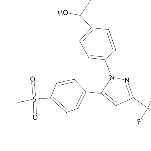 CC(O)c1ccc(-n2nc(C(F)(F)F)cc2-c2ccc(S(C)(=O)=O)cc2)cc1